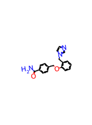 NC(=O)c1ccc(COc2ccccc2Cn2ccnc2)cc1